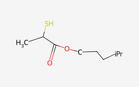 CC(C)CCCOC(=O)C(C)S